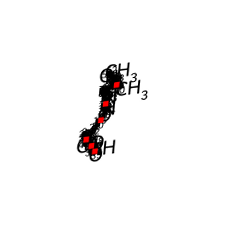 CCc1nc(-c2cccc3cc(-c4ccc(OCCCCCCc5cccc6c5CN(C5CCC(=O)NC5=O)C6=O)nc4)ncc23)c2n1CCN(C(C)=O)C2